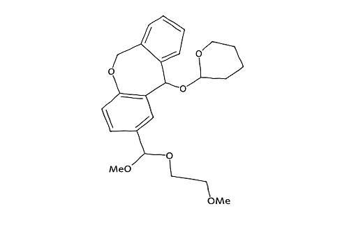 COCCOC(OC)c1ccc2c(c1)C(OC1CCCCO1)c1ccccc1CO2